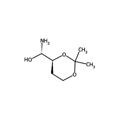 CC1(C)OCC[C@@H]([C@@H](N)O)O1